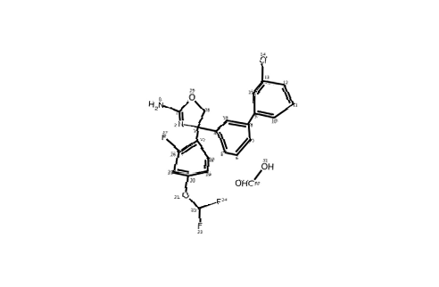 NC1=NC(c2cccc(-c3cccc(Cl)c3)c2)(c2ccc(OC(F)F)cc2F)CO1.O=CO